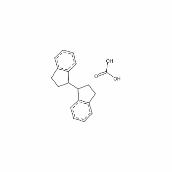 O=C(O)O.c1ccc2c(c1)CCC2C1CCc2ccccc21